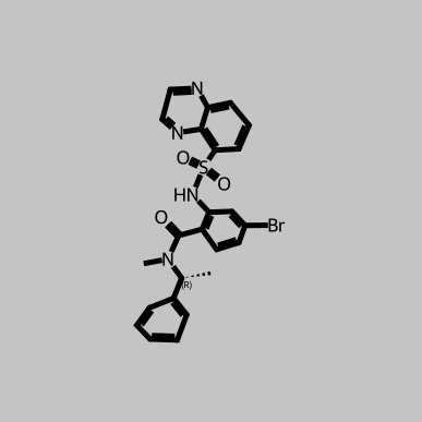 C[C@H](c1ccccc1)N(C)C(=O)c1ccc(Br)cc1NS(=O)(=O)c1cccc2nccnc12